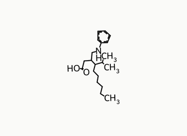 CCCCCCC(C(C)C)C(CNc1ccccc1)CC(=O)O